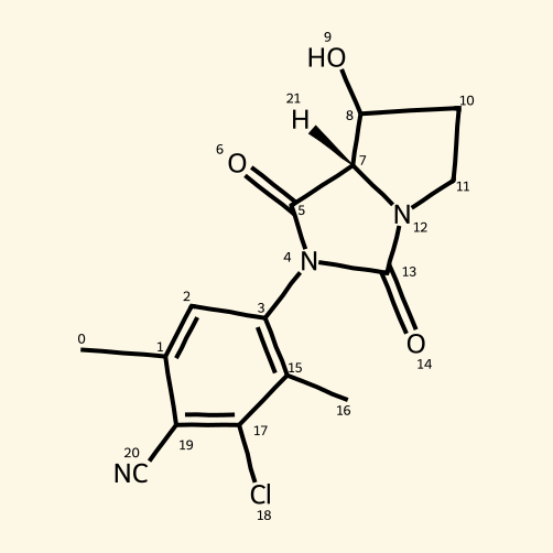 Cc1cc(N2C(=O)[C@@H]3C(O)CCN3C2=O)c(C)c(Cl)c1C#N